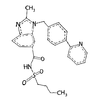 CCCCS(=O)(=O)NC(=O)c1ccc2nc(C)n(Cc3ccc(-c4ccccn4)cc3)c2c1